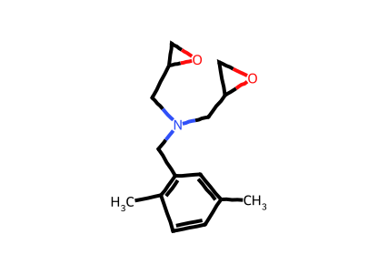 Cc1ccc(C)c(CN(CC2CO2)CC2CO2)c1